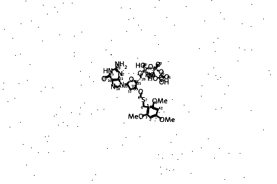 COc1cc(OC)c(CSCO[C@@H]2C[C@H](n3cnc4c(=O)[nH]c(N)nc43)O[C@@H]2COP(=O)(O)OP(=O)(O)OP(=O)(O)O)c(OC)c1